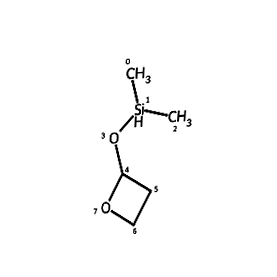 C[SiH](C)OC1CCO1